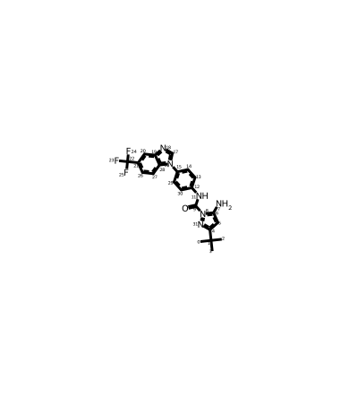 CC(C)(C)c1cc(N)n(C(=O)Nc2ccc(-n3cnc4cc(C(F)(F)F)ccc43)cc2)n1